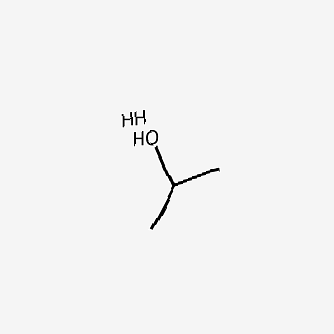 CC(C)O.[HH]